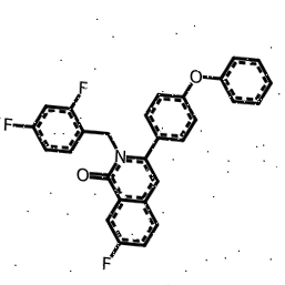 O=c1c2cc(F)ccc2cc(-c2ccc(Oc3ccccc3)cc2)n1Cc1ccc(F)cc1F